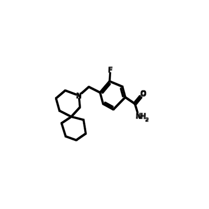 NC(=O)c1ccc(CN2CCCC3(CCCCC3)C2)c(F)c1